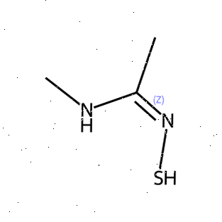 CN/C(C)=N\S